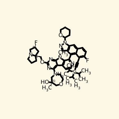 CC(C)[Si](C#Cc1c(F)ccc2cc3c(cnn3C3CCCCO3)c(-c3nccc4c5c(N6CCOC[C@@](C)(O)C6)nc(OC[C@@]67CCCN6C[C@H](F)C7)nc5n(C)c34)c12)(C(C)C)C(C)C